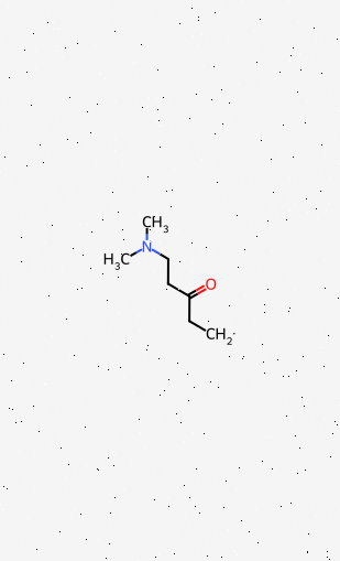 [CH2]CC(=O)CCN(C)C